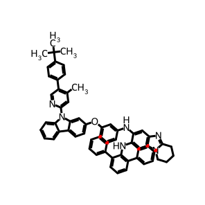 Cc1cc(-n2c3ccccc3c3ccc(Oc4cccc(Nc5cc6nc7n(c6cc5Nc5c(-c6ccccc6)cccc5-c5ccccc5)CCCC7)c4)cc32)ncc1-c1ccc(C(C)(C)C)cc1